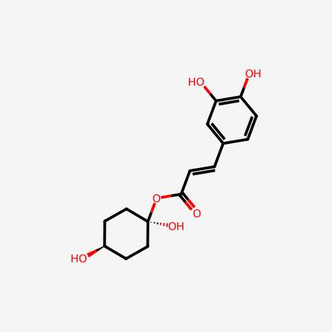 O=C(C=Cc1ccc(O)c(O)c1)O[C@]1(O)CC[C@H](O)CC1